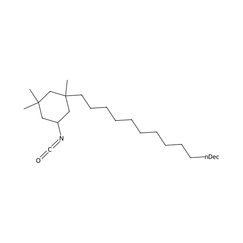 CCCCCCCCCCCCCCCCCCCCC1(C)CC(N=C=O)CC(C)(C)C1